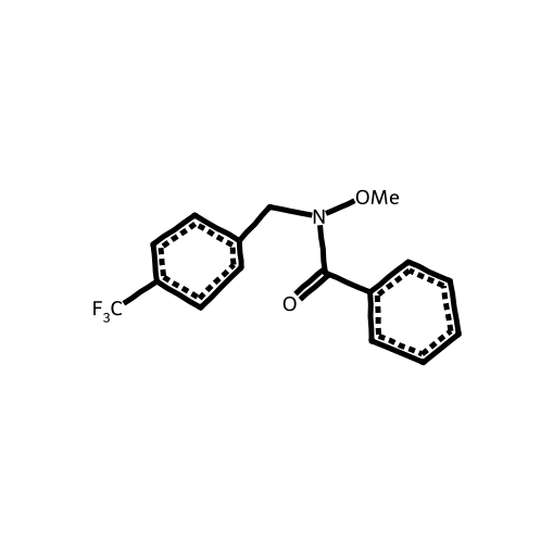 CON(Cc1ccc(C(F)(F)F)cc1)C(=O)c1ccccc1